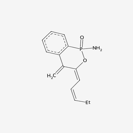 C=C1/C(=C\C=C/CC)OP(N)(=O)c2ccccc21